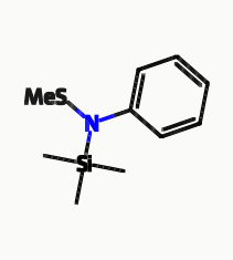 CSN(c1ccccc1)[Si](C)(C)C